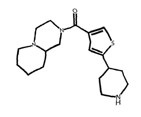 O=C(c1csc(C2CCNCC2)c1)N1CCN2CCCCC2C1